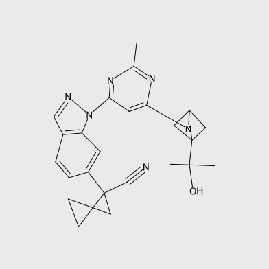 Cc1nc(N2CC3(C(C)(C)O)CC2C3)cc(-n2ncc3ccc(C4(C#N)CC45CC5)cc32)n1